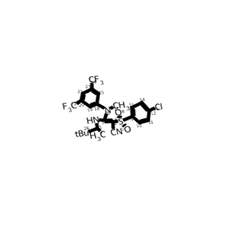 CC(NC(=C(C#N)S(=O)(=O)c1ccc(Cl)cc1)N(C)c1cc(C(F)(F)F)cc(C(F)(F)F)c1)C(C)(C)C